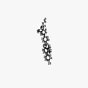 C=CCCOc1ccc(C2CCC(COc3ccc(C4CCC(C)CC4)c(F)c3F)CC2)cc1F